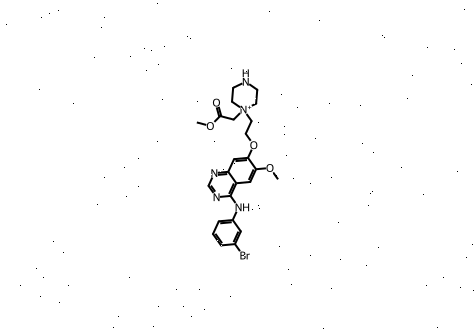 COC(=O)C[N+]1(CCOc2cc3ncnc(Nc4cccc(Br)c4)c3cc2OC)CCNCC1